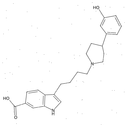 O=C(O)c1ccc2c(CCCCN3CCC(c4cccc(O)c4)CC3)c[nH]c2c1